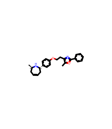 Cc1oc(-c2ccccc2)nc1CCOc1ccc([C@@H]2CC=CC[C@@H](C)N2)cc1